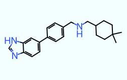 CC1(C)CCC(CNCc2ccc(-c3ccc4nc[nH]c4c3)cc2)CC1